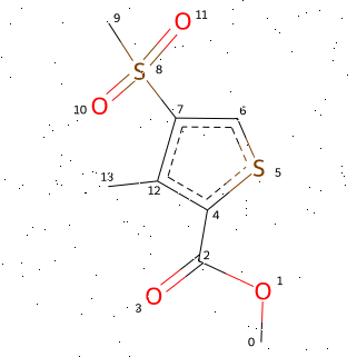 COC(=O)c1scc(S(C)(=O)=O)c1C